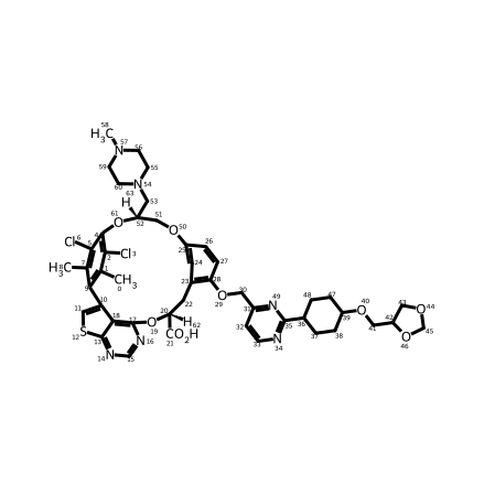 Cc1c(Cl)c2c(Cl)c(C)c1-c1csc3ncnc(c13)O[C@@H](C(=O)O)Cc1cc(ccc1OCc1ccnc(C3CCC(OCC4COCO4)CC3)n1)OC[C@@H](CN1CCN(C)CC1)O2